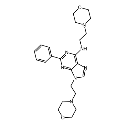 c1ccc(-c2nc(NCCN3CCOCC3)c3ncn(CCN4CCOCC4)c3n2)cc1